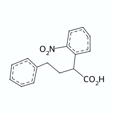 O=C(O)C(CCc1ccccc1)c1ccccc1[N+](=O)[O-]